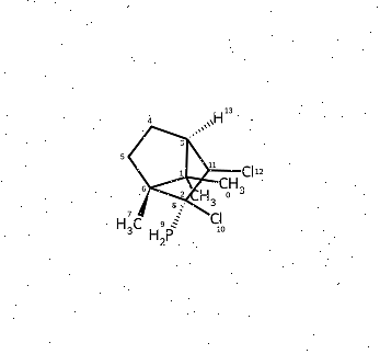 CC1(C)[C@H]2CC[C@@]1(C)[C@](P)(Cl)C2Cl